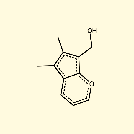 Cc1c2cccoc-2c(CO)c1C